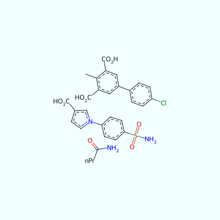 CCCC(N)=O.Cc1c(C(=O)O)cc(-c2ccc(Cl)cc2)cc1C(=O)O.NS(=O)(=O)c1ccc(-n2ccc(C(=O)O)c2)cc1